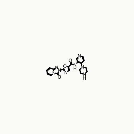 O=C(Nc1cnccc1N1CCNCC1)c1cnc(-n2nc3ccccn3c2=O)o1